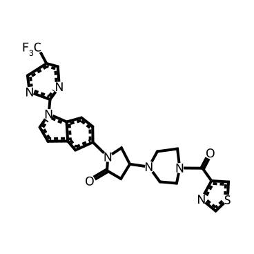 O=C(c1cscn1)N1CCN(C2CC(=O)N(c3ccc4c(ccn4-c4ncc(C(F)(F)F)cn4)c3)C2)CC1